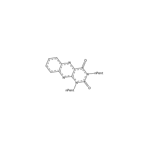 CCCCCn1c(=O)c2nc3ccccc3nc2n(CCCCC)c1=O